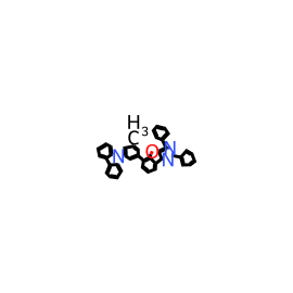 Cc1cc(-c2cccc3c2oc2c(-c4ccccc4)nc(-c4ccccc4)nc23)cc(-n2c3ccccc3c3ccccc32)c1